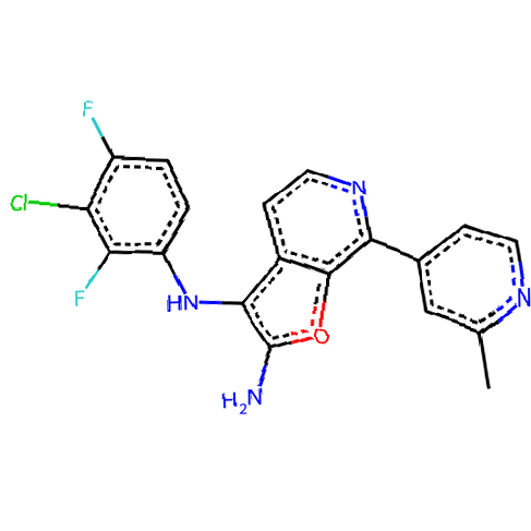 Cc1cc(-c2nccc3c(Nc4ccc(F)c(Cl)c4F)c(N)oc23)ccn1